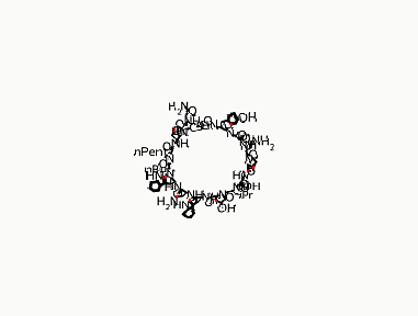 CCCCC[C@H]1C(=O)N[C@@H](CC(C)C)C(=O)N[C@H](C(=O)NCC(N)=O)CSCC(=O)N[C@@H](Cc2ccc(O)cc2)C(=O)N(C)[C@@H](C)C(=O)N[C@@H](CC(N)=O)C(=O)N2CCC[C@H]2C(=O)N[C@@H](CO)C(=O)N[C@@H](CC(C)C)C(=O)N2C[C@H](O)C[C@H]2C(=O)N[C@@H](Cc2c[nH]c3ccccc23)C(=O)N[C@@H](CCN)C(=O)N[C@@H](Cc2c[nH]c3ccccc23)C(=O)N(C)[C@@H](CCCC)C(=O)N1C